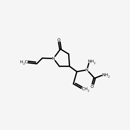 C=CCN1CC(C(C=C)N(N)C(N)=O)CC1=O